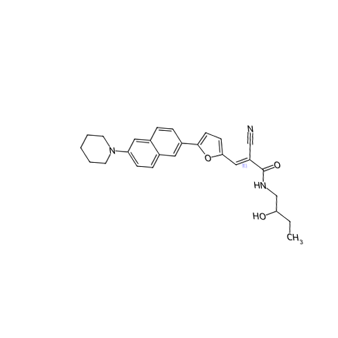 CCC(O)CNC(=O)/C(C#N)=C/c1ccc(-c2ccc3cc(N4CCCCC4)ccc3c2)o1